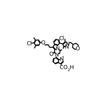 Cc1cc(OCCCc2c3n(c4c(-c5c(C)nn(CC6CCOCC6)c5C)c(Cl)ccc24)C(C)CN(c2cccc4c(C(=O)O)cn(C)c24)C3=O)cc(C)c1Cl